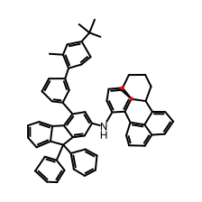 Cc1cc(C(C)(C)C)ccc1-c1cccc(-c2cc(Nc3ccccc3-c3cccc4cccc(C5CCCCC5)c34)cc3c2-c2ccccc2C3(c2ccccc2)c2ccccc2)c1